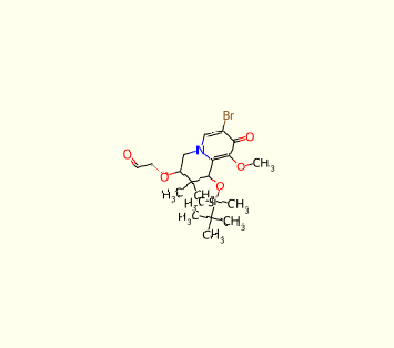 COc1c2n(cc(Br)c1=O)CC(OCC=O)C(C)(C)C2O[Si](C)(C)C(C)(C)C